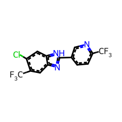 FC(F)(F)c1ccc(-c2nc3cc(C(F)(F)F)c(Cl)cc3[nH]2)cn1